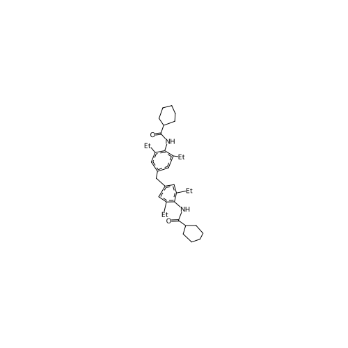 CCc1cc(Cc2cc(CC)c(NC(=O)C3CCCCC3)c(CC)c2)cc(CC)c1NC(=O)C1CCCCC1